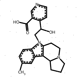 Cc1ccc2c(c1)c1c(n2CC(O)c2ccncc2C(=O)O)CCN2CCCC12